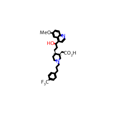 COc1ccc2nccc(C(O)CC[C@@H]3CCN(CCCc4ccc(C(F)(F)F)cc4)C[C@@H]3CC(=O)O)c2c1